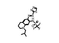 CC(C)CN1CCCc2cc(N=Nc3nncs3)c(NS(=O)(=O)C(F)(F)F)cc21